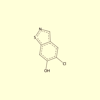 Oc1cc2sncc2cc1Cl